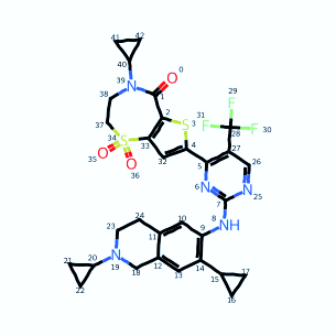 O=C1c2sc(-c3nc(Nc4cc5c(cc4C4CC4)CN(C4CC4)CC5)ncc3C(F)(F)F)cc2S(=O)(=O)CCN1C1CC1